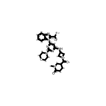 CN1CC(C(=O)N2CC(Nc3cc(-n4c(C(F)F)nc5ccccc54)nc(N4CCOCC4)n3)C2)CCC1=O